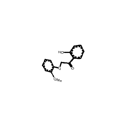 COc1ccccc1OCC(=O)c1ccccc1O